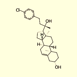 C[C@]12CC[C@H]3[C@@H](CC=C4C[C@@H](O)CC[C@@]43C)[C@@H]1CC[C@@H]2[C@@](C)(O)CCc1ccc(Cl)cc1